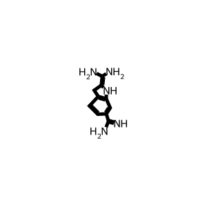 N=C(N)c1ccc2c(c1)NC(=C(N)N)C2